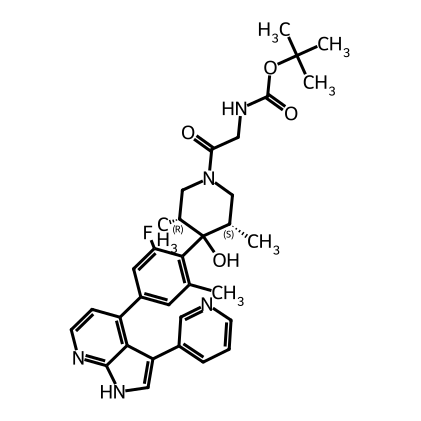 Cc1cc(-c2ccnc3[nH]cc(-c4cccnc4)c23)cc(F)c1C1(O)[C@H](C)CN(C(=O)CNC(=O)OC(C)(C)C)C[C@@H]1C